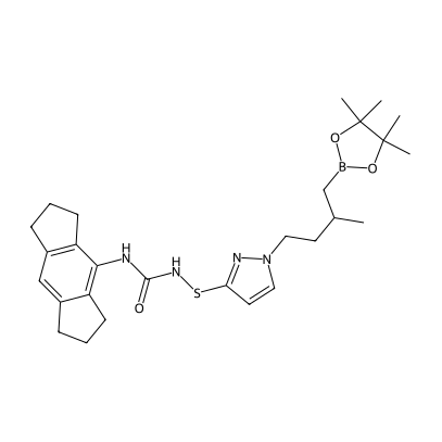 CC(CCn1ccc(SNC(=O)Nc2c3c(cc4c2CCC4)CCC3)n1)CB1OC(C)(C)C(C)(C)O1